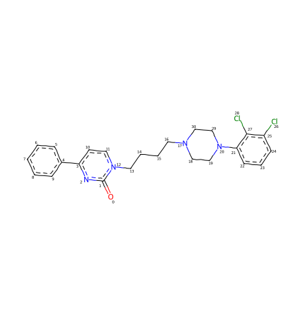 O=c1nc(-c2ccccc2)ccn1CCCCN1CCN(c2cccc(Cl)c2Cl)CC1